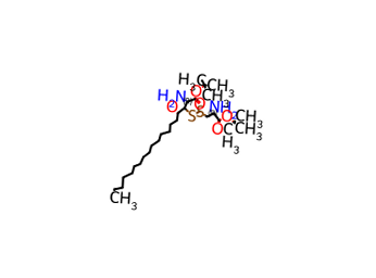 CCCCCCCCCCCCCCCC(=O)C(SSC[C@H](N)C(=O)OC(C)(C)C)[C@H](N)C(=O)OC(C)(C)C